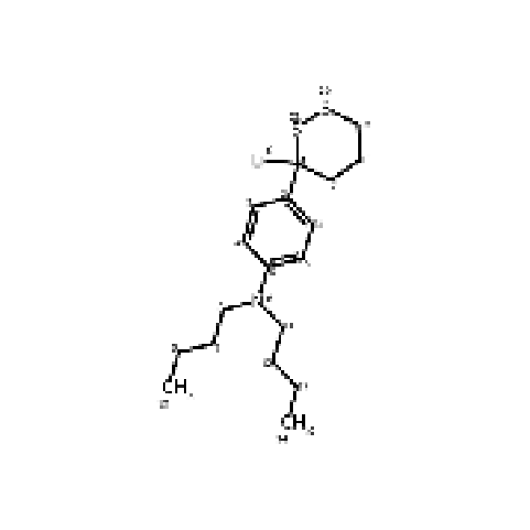 [Li][C]1(c2ccc(N(CCCC)CCCC)cc2)CCCSS1